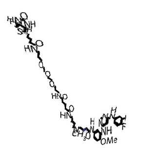 COc1ccc(NC(=O)/C=C/CN(C)CCCCNC(=O)CCCC(=O)NCCCOCCOCCOCCCNC(=O)CCCC[C@@H]2SC[C@@H]3NC(=O)N[C@@H]32)cc1Nc1cc(Nc2ccc(F)c(I)c2)ncn1